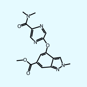 COC(=O)c1cc(Oc2cnc(C(=O)N(C)C)cn2)c2cn(C)nc2c1